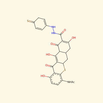 CC(=O)Nc1ccc(O)c2c1SC1CC3CC(O)=C(C(=O)NNC4=CCC(=S)C=C4)C(=O)C3C(O)=C1C2=O